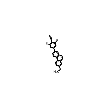 CCc1ccc2c(ccc3cc(-c4cc(F)c(C#N)c(F)c4)ccc32)c1